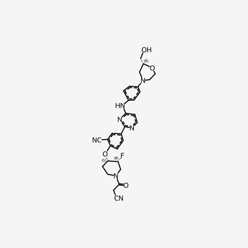 N#CCC(=O)N1CC[C@H](Oc2ccc(-c3nccc(Nc4ccc(N5CCO[C@@H](CO)C5)cc4)n3)cc2C#N)[C@H](F)C1